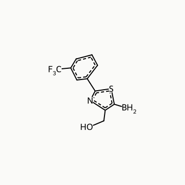 Bc1sc(-c2cccc(C(F)(F)F)c2)nc1CO